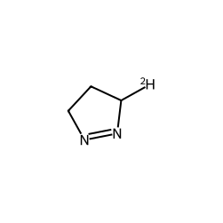 [2H]C1CCN=N1